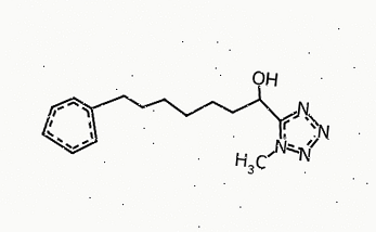 Cn1nnnc1C(O)CCCCCCc1ccccc1